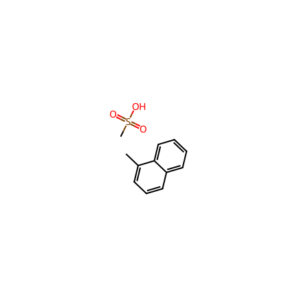 CS(=O)(=O)O.Cc1cccc2ccccc12